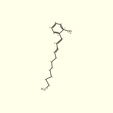 CCCCCCCCC=CC=Cc1ccccc1O